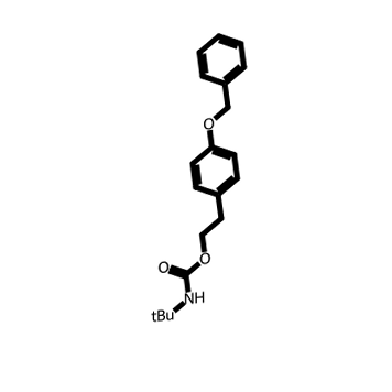 CC(C)(C)NC(=O)OCCc1ccc(OCc2ccccc2)cc1